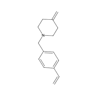 C=Cc1ccc(CN2CCC(=C)CC2)cc1